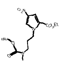 CCOC(=O)c1cc([N+](=O)[O-])cn1CCCN(C)C(=O)OC(C)(C)C